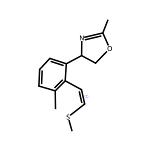 CS/C=C\c1c(C)cccc1C1COC(C)=N1